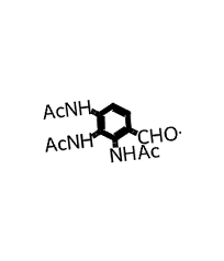 CC(=O)Nc1ccc([C]=O)c(NC(C)=O)c1NC(C)=O